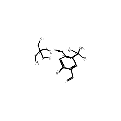 CC(C)(C)c1cc(C=O)c(Br)cc1C=O.CCC(CO)(CO)CO